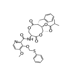 COc1ccnc(C(=O)N[C@H]2COC(=O)[C@H](Cc3ccccc3)[C@@H](OC(=O)C(C)C)[C@H](C)OC2=O)c1OCSc1ccccc1